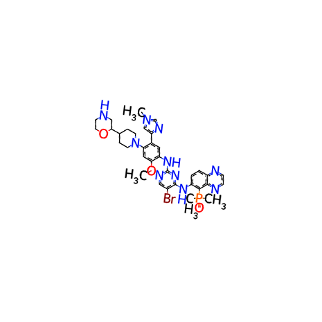 COc1cc(N2CCC(C3CNCCO3)CC2)c(-c2cn(C)cn2)cc1Nc1ncc(Br)c(Nc2ccc3nccnc3c2P(C)(C)=O)n1